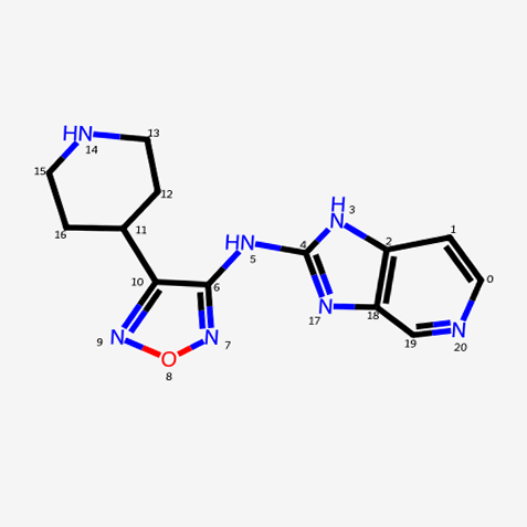 c1cc2[nH]c(Nc3nonc3C3CCNCC3)nc2cn1